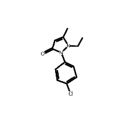 CCn1c(C)cc(=O)n1-c1ccc(Cl)cc1